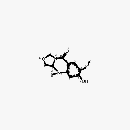 COc1cc2c(cc1O)N1C[C@@]13COCN3C2=O